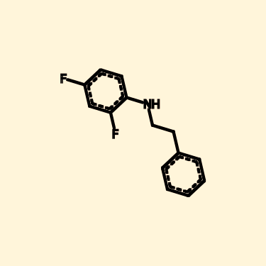 Fc1ccc(NCCc2ccccc2)c(F)c1